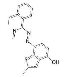 C=NC(/N=N/c1ccc(O)c2cc(C)sc12)=c1/cccc/c1=C/C